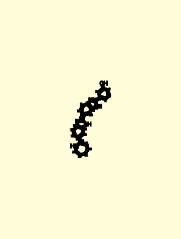 Oc1cccc(-c2nc3ccc(-c4nc5ccc(C6=NCCCCN6)cc5[nH]4)cc3[nH]2)c1